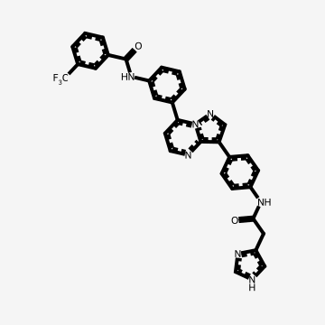 O=C(Cc1c[nH]cn1)Nc1ccc(-c2cnn3c(-c4cccc(NC(=O)c5cccc(C(F)(F)F)c5)c4)ccnc23)cc1